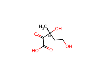 C[C@@](O)(CCO)C(=O)C(=O)O